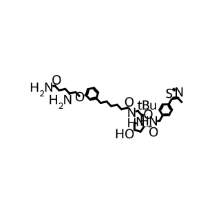 Cc1ncsc1-c1ccc(CNC(=O)[C@@H]2C[C@@H](O)CN2C(=O)C(NC(=O)CCCCCc2cccc(OC[C@@H](N)CCC(N)=O)c2)C(C)(C)C)cc1